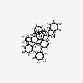 c1ccc(-n2c(-c3ccc4c(c3)C3(c5ccccc5-c5ccccc5-4)c4ccccc4-c4ccccc43)nc3ccccc32)cc1